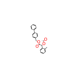 Cc1ccccc1C(O[C]=O)C(=O)OCc1ccc(-c2ccccc2)cc1